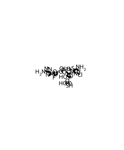 Nc1ncnc2c1ncn2[C@@H]1O[C@H](COP(=O)(S)OCC2[C@H](n3c(=O)sc4c(N)nc(Cl)nc43)O[C@H](COP(=O)(O)S)[C@H]2O)C[C@H]1F